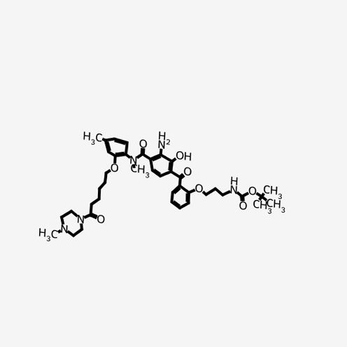 Cc1ccc(N(C)C(=O)c2ccc(C(=O)c3ccccc3OCCCNC(=O)OC(C)(C)C)c(O)c2N)c(OCCCCCC(=O)N2CCN(C)CC2)c1